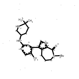 CC1(C)CCC(Nc2ncc(C(F)(F)F)c(-c3c[nH]c4c3CCCN(C(C)(C)C)C4=O)n2)CN1